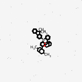 CC1CC2CC(C)CC(c3ccc(N(c4ccc5c(c4)C(C)(C)c4ccccc4-5)c4ccccc4C45CC6CC(CC(C6)C4)C5)cc3)(C1)C2